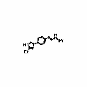 CCc1nc(-c2ccc(/N=C/NC(C)C)cc2)c[nH]1